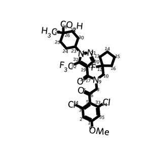 COc1cc(Cl)c(C(=O)CN(CC2(F)CCCC2)C(=O)c2cnn(C3CCC(C)(C(=O)O)CC3)c2C(F)(F)F)c(Cl)c1